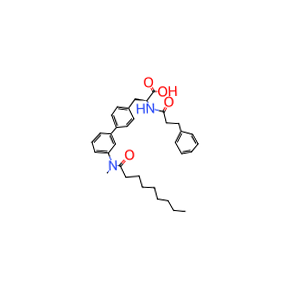 CCCCCCCCC(=O)N(C)c1cccc(-c2ccc(C[C@H](NC(=O)CCc3ccccc3)C(=O)O)cc2)c1